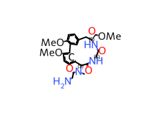 COC(=O)[C@@H]1Cc2ccc(OC)c(c2)-c2cc(ccc2OC)[C@H](N(C)C(=O)CN)C(=O)N[C@@H](C)C(=O)N1